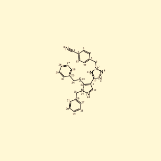 N#Cc1ccc(Cn2nnc(-c3cnn(Cc4ccccc4)c3SCc3ccccc3)n2)cc1